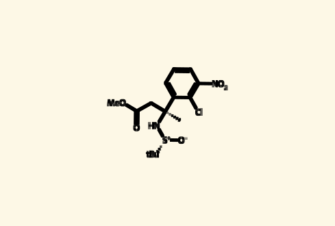 COC(=O)C[C@](C)(N[S@+]([O-])C(C)(C)C)c1cccc([N+](=O)[O-])c1Cl